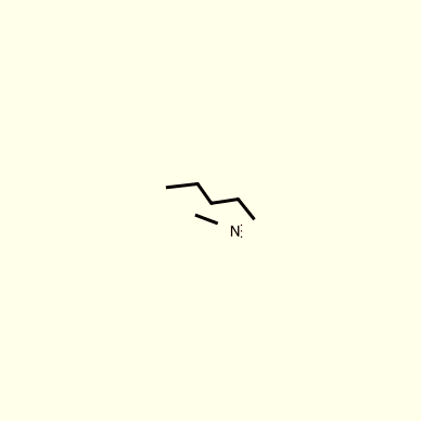 CC.CCCCC.[N]